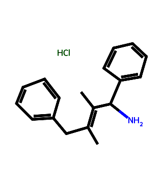 CC(Cc1ccccc1)=C(C)C(N)c1ccccc1.Cl